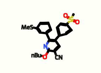 CCCCOc1nc(-c2cccc(SC)c2)c(-c2ccc(S(C)(=O)=O)cc2)cc1C#N